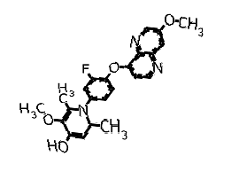 COC1=C(C)N(c2ccc(Oc3ccnc4cc(OC)cnc34)c(F)c2)C(C)C=C1O